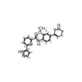 COc1cc(C2=CCCNC2)ccc1NC(=O)c1cccc(-c2ccn[nH]2)n1